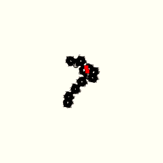 C1=CC(c2cccc3c2oc2ccccc23)CC=C1N(c1ccc(-c2ccc(-c3ccc4ccccc4c3)cc2)cc1)c1cccc2ccc3ccccc3c12